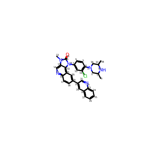 CC1CN(c2ccc(-n3c(=O)n(C)c4cnc5ccc(-c6cnc7ccccc7c6)cc5c43)cc2Cl)CC(C)N1